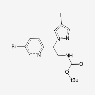 CC(C)(C)OC(=O)NCC(c1ccc(Br)cn1)n1cc(I)cn1